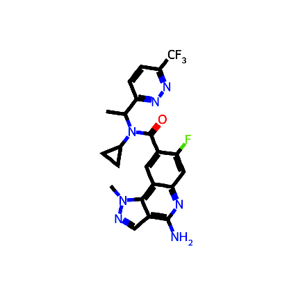 CC(c1ccc(C(F)(F)F)nn1)N(C(=O)c1cc2c(cc1F)nc(N)c1cnn(C)c12)C1CC1